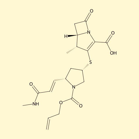 C=CCOC(=O)N1C[C@@H](SC2=C(C(=O)O)N3C(=O)C[C@H]3[C@H]2C)C[C@H]1/C=C/C(=O)NC